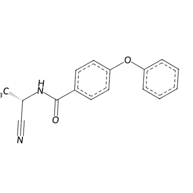 C[C@@H](C#N)NC(=O)c1ccc(Oc2ccccc2)cc1